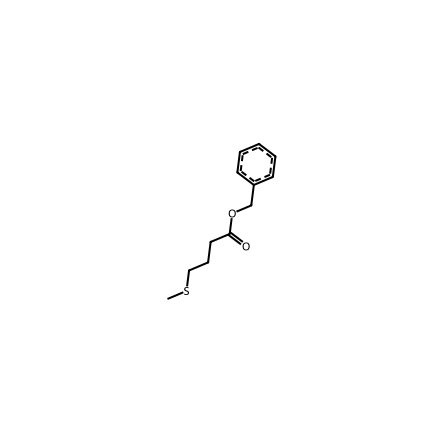 CSCCCC(=O)OCc1ccccc1